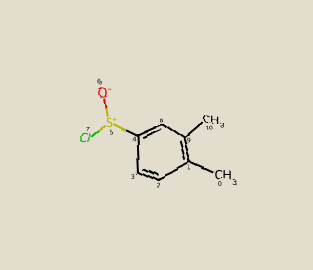 Cc1ccc([S+]([O-])Cl)cc1C